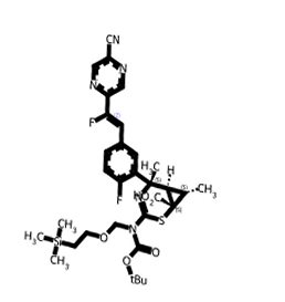 C[C@H]1[C@H]2[C@@]1(C(=O)O)SC(N(COCC[Si](C)(C)C)C(=O)OC(C)(C)C)=N[C@]2(C)c1cc(/C=C(\F)c2cnc(C#N)cn2)ccc1F